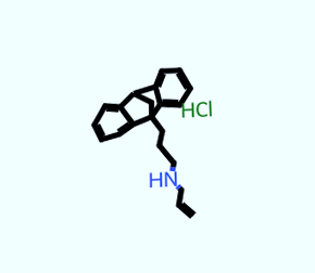 C=CCNCCCC12CC(c3ccccc31)c1ccccc12.Cl